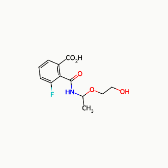 CC(NC(=O)c1c(F)cccc1C(=O)O)OCCO